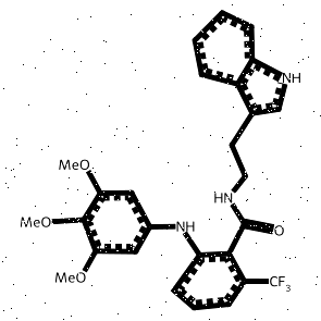 COc1cc(Nc2cccc(C(F)(F)F)c2C(=O)NCCc2c[nH]c3ccccc23)cc(OC)c1OC